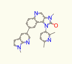 Cc1ccc(-n2c(=O)n(C)c3cnc4ccc(-c5cnc6c(ccn6C)c5)cc4c32)c(C)n1